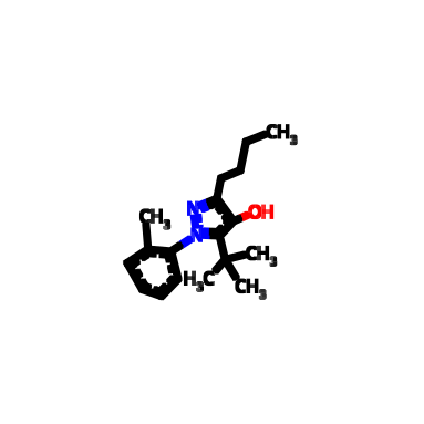 CCCCc1nn(-c2ccccc2C)c(C(C)(C)C)c1O